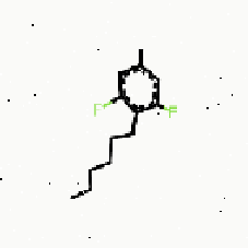 CCCCCCc1c(F)cc(C)cc1F